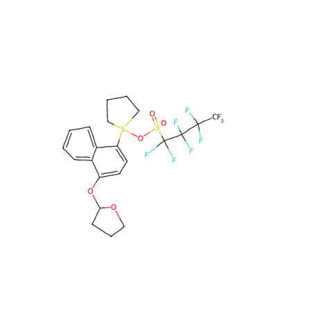 O=S(=O)(OS1(c2ccc(OC3CCCO3)c3ccccc23)CCCC1)C(F)(F)C(F)(F)C(F)(F)C(F)(F)F